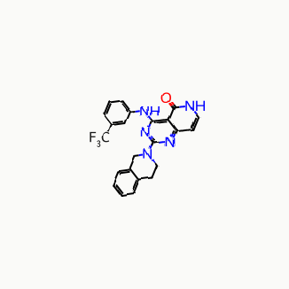 O=c1[nH]ccc2nc(N3CCc4ccccc4C3)nc(Nc3cccc(C(F)(F)F)c3)c12